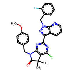 COc1ccc(CN2C(=O)C(C)(C)c3c(Cl)nc(-c4nn(Cc5ccccc5F)c5ncccc45)nc32)cc1